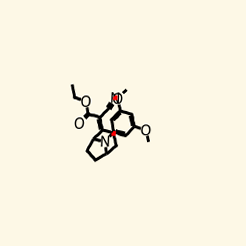 CCOC(=O)C(C#N)=C1CCC2CCC1N2c1cc(OC)cc(OC)c1